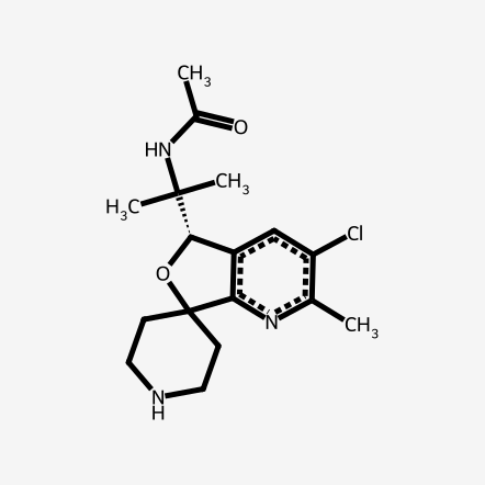 CC(=O)NC(C)(C)[C@H]1OC2(CCNCC2)c2nc(C)c(Cl)cc21